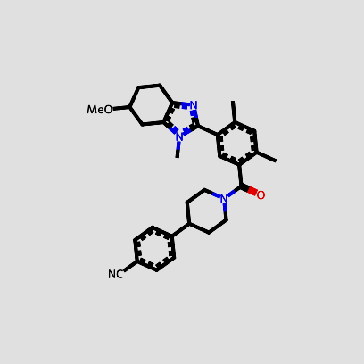 COC1CCc2nc(-c3cc(C(=O)N4CCC(c5ccc(C#N)cc5)CC4)c(C)cc3C)n(C)c2C1